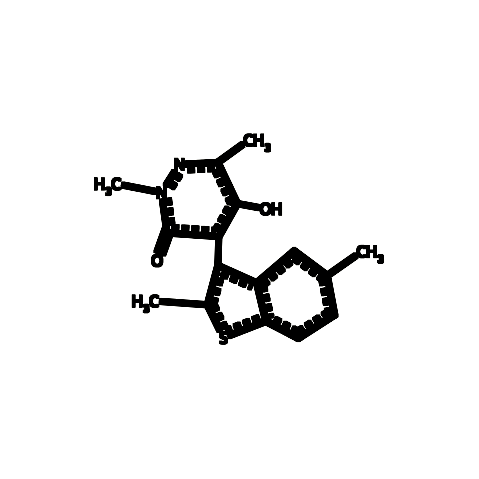 Cc1ccc2sc(C)c(-c3c(O)c(C)nn(C)c3=O)c2c1